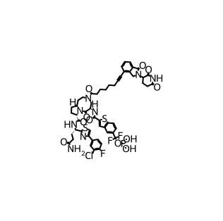 NC(=O)CC[C@H](NC(=O)[C@@H]1CC[C@@H]2CCN(C(=O)CCCCCC#Cc3cccc4c3CN(C3CCC(=O)NC3=O)C4=O)C[C@H](NC(=O)c3cc4cc(C(F)(F)OP(O)O)ccc4s3)C(=O)N21)c1nc(-c2ccc(F)c(Cl)c2)cs1